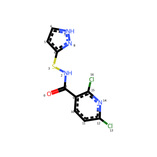 O=C(NSc1cc[nH]n1)c1ccc(Cl)nc1Cl